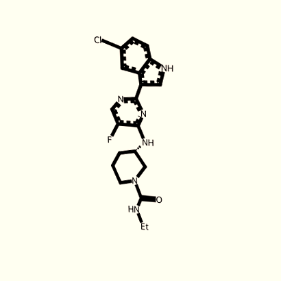 CCNC(=O)N1CCC[C@H](Nc2nc(-c3c[nH]c4ccc(Cl)cc34)ncc2F)C1